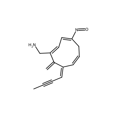 C=C1/C(=C\C#CC)C=CC/C(N=O)=C\C=C\1CN